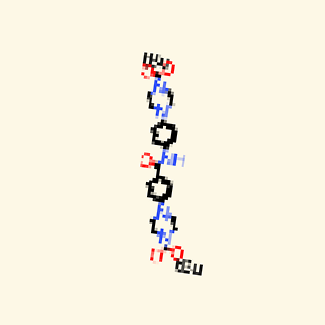 CC(C)(C)OC(=O)N1CCN(c2ccc(NC(=O)c3ccc(N4CCN(C(=O)OC(C)(C)C)CC4)cc3)cc2)CC1